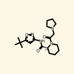 CC(C)(C)c1cc(NC(=O)[C@@H]2CCCCN2C(=O)CN2CCCC2)no1